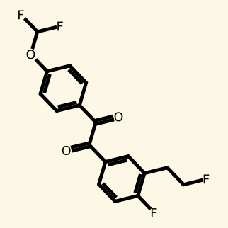 O=C(C(=O)c1ccc(F)c(CCF)c1)c1ccc(OC(F)F)cc1